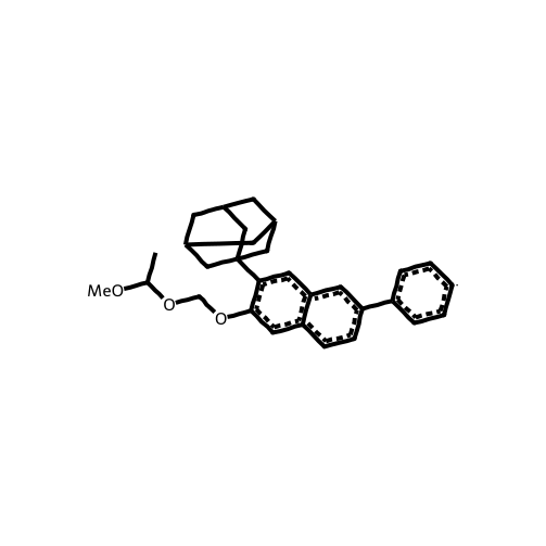 COC(C)OCOc1cc2ccc(-c3cc[c]cc3)cc2cc1C12CC3CC(CC(C3)C1)C2